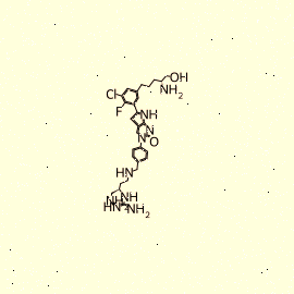 N=C(N)N[C@@H](CN)CCNCc1ccc(-n2cc3cc(-c4cc(CCC[C@@H](N)CO)cc(Cl)c4F)[nH]c3nc2=O)cc1